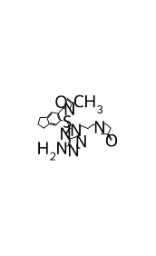 Cc1coc(-c2cc3c(cc2Sc2nc4c(N)ncnc4n2CCCN2CCC(=O)C2)CCC3)n1